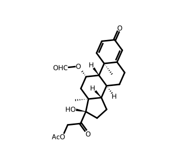 CC(=O)OCC(=O)[C@@]1(O)CC[C@H]2[C@@H]3CCC4=CC(=O)C=C[C@]4(C)[C@H]3[C@@H](OC=O)C[C@@]21C